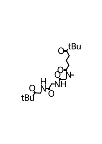 CN(CC(=O)NCC(=O)NCC(=O)C(C)(C)C)C(=O)CCCC(=O)C(C)(C)C